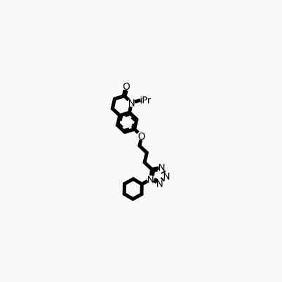 CC(C)N1C(=O)CCc2ccc(OCCCc3nnnn3C3CCCCC3)cc21